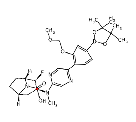 COCOc1cc(B2OC(C)(C)C(C)(C)O2)ccc1-c1cnc(N(C)[C@H]2C[C@@H]3CC[C@H]([C@H]2F)N3C(=O)O)cn1